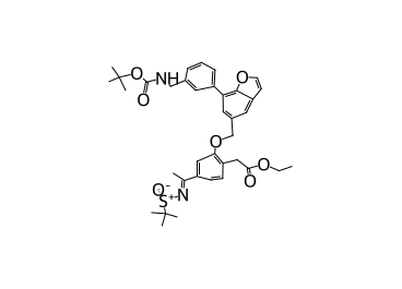 CCOC(=O)Cc1ccc(C(C)=N[S@@+]([O-])C(C)(C)C)cc1OCc1cc(-c2cccc(CNC(=O)OC(C)(C)C)c2)c2occc2c1